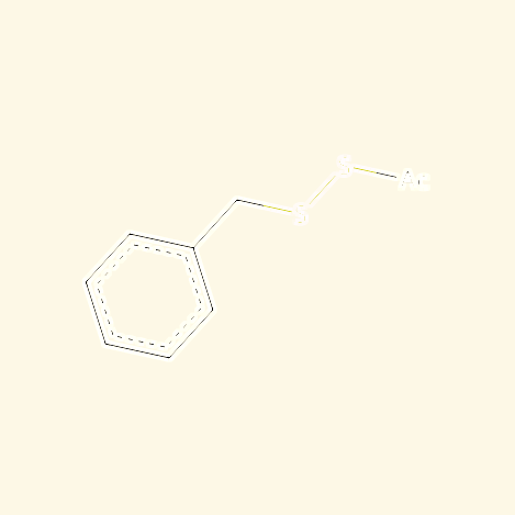 CC(=O)SSCc1ccccc1